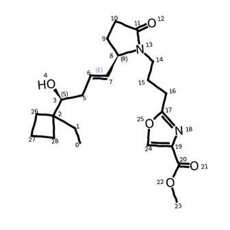 CCC1([C@@H](O)C/C=C/[C@H]2CCC(=O)N2CCCc2nc(C(=O)OC)co2)CCC1